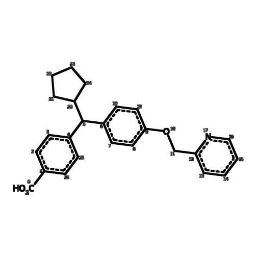 O=C(O)c1ccc(C(c2ccc(OCc3ccccn3)cc2)C2CCCC2)cc1